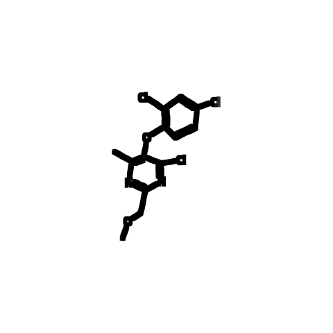 COCc1nc(C)c(Oc2ccc(Cl)cc2Cl)c(Cl)n1